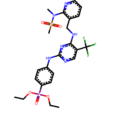 CCOP(=O)(OCC)c1ccc(Nc2ncc(C(F)(F)F)c(NCc3cccnc3N(C)S(C)(=O)=O)n2)cc1